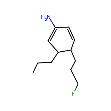 CCCC1C=C(N)C=CC1CCCF